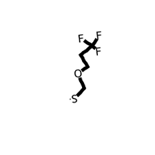 FC(F)(F)CCOC[S]